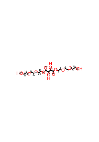 O=C(OCCOCCOCCO)C(O)C(O)C(=O)OCCOCCOCCO